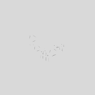 CN(C)c1nc2cc(NC(=O)Nc3ccc(Oc4ccccc4)cc3)ccc2n1C